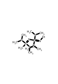 CCN=P(N=P(C)(N(C)C)N(C)C)(N(C)C)N(C)C